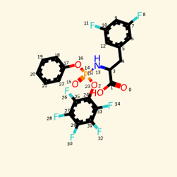 O=C(O)C(Cc1cc(F)cc(F)c1)N[P@](=O)(Oc1ccccc1)Oc1c(F)c(F)c(F)c(F)c1F